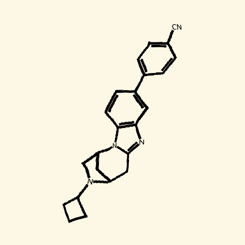 N#Cc1ccc(-c2ccc3c(c2)nc2n3C3CC(C2)N(C2CCC2)C3)cc1